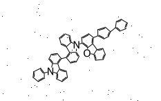 c1ccc(-c2ccc(-c3ccc(-n4c5ccccc5c5c(-c6cccc7c6c6ccccc6n7-c6ccccc6)cccc54)c4oc5ccccc5c34)cc2)cc1